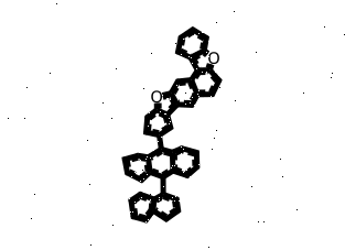 c1ccc2c(-c3c4ccccc4c(-c4ccc5oc6cc7c(ccc8oc9ccccc9c87)cc6c5c4)c4ccccc34)cccc2c1